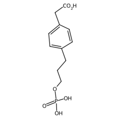 O=C(O)Cc1ccc(CCCOP(=O)(O)O)cc1